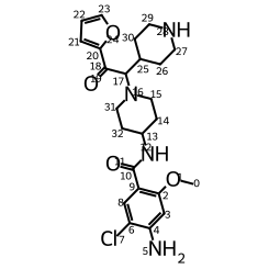 COc1cc(N)c(Cl)cc1C(=O)NC1CCN(C(C(=O)c2ccco2)C2CCNCC2)CC1